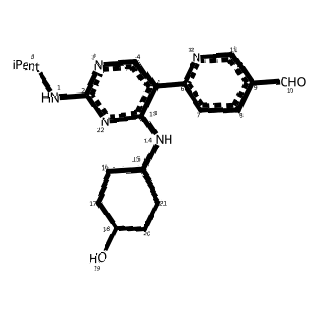 CCCC(C)Nc1ncc(-c2ccc(C=O)cn2)c(NC2CCC(O)CC2)n1